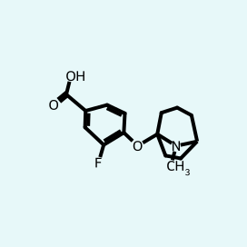 CN1C2CCCC1(Oc1ccc(C(=O)O)cc1F)CC2